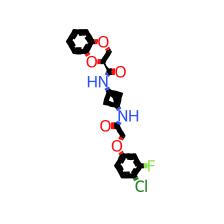 O=C(COc1ccc(Cl)c(F)c1)NC12CC(NC(=O)[C@@H]3COc4ccccc4O3)(C1)C2